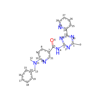 Cc1nc(NC(=O)c2ccc(N(C)Cc3ccccc3)nc2)nc(-c2ccccn2)n1